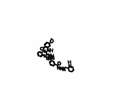 COc1ccc(Cl)c(Nc2nc3ccccc3nc2NS(=O)(=O)c2cccc(C(=O)N=[N+]=NCC3CCCCN3)c2)c1